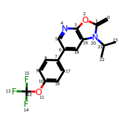 C=C1Oc2ncc(-c3ccc(OC(F)(F)F)cc3)cc2N1C(C)C